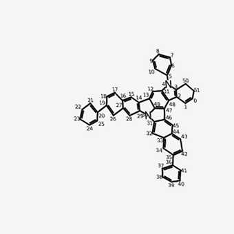 C1=Cc2c(n(-c3ccccc3)c3cc4c5cc6ccc(-c7ccccc7)cc6cc5n5c6cc7cc(-c8ccccc8)ccc7cc6c(c23)c45)CC1